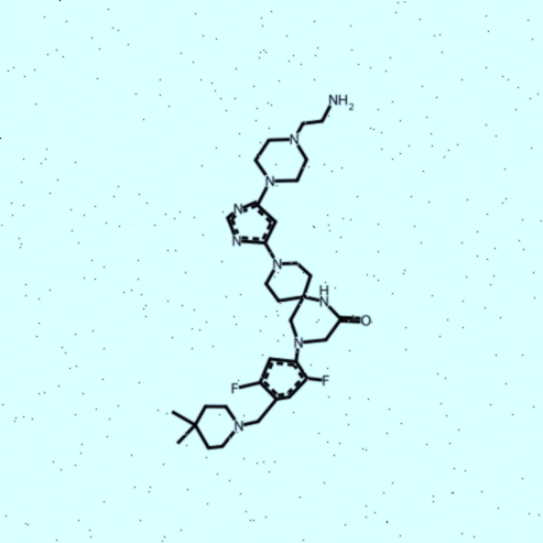 CC1(C)CCN(Cc2cc(F)c(N3CC(=O)NC4(CCN(c5cc(N6CCN(CCN)CC6)ncn5)CC4)C3)cc2F)CC1